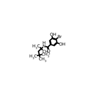 CC(C)(C)CC(C)(C)NC(=O)c1cc(O)c(Br)c(O)c1